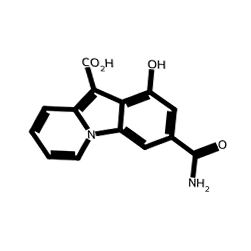 NC(=O)c1cc(O)c2c(C(=O)O)c3ccccn3c2c1